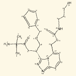 CC(C)(N)C(=O)CC(COCc1ccccc1)c1nnc2cccc(COC(=O)NCCCO)n12